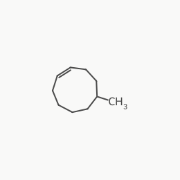 CC1CC/C=C\CCCC1